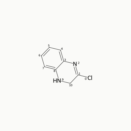 ClC1=Nc2ccccc2NC1